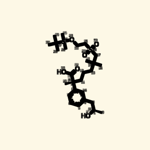 C[C@@H](O)Cc1cccc([C@@](C)(CCCC(C)(C)CS(=O)(=O)CCO[Si](C)(C)C(C)(C)C)C(=O)O)c1